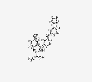 OC(CNC(c1cccc(Oc2cccc(-c3ccco3)c2)c1)c1cc(C(F)(F)F)ccc1F)C(F)(F)F